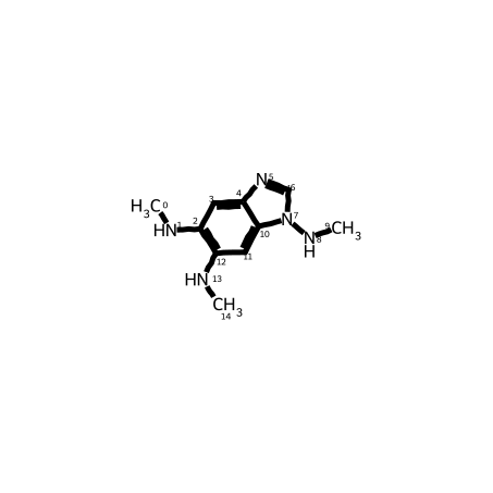 CNc1cc2n[c]n(NC)c2cc1NC